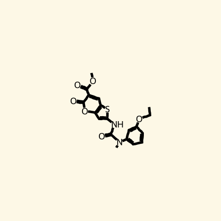 CCOc1cccc(N(C)C(=O)Nc2cc3oc(=O)c(C(=O)OC)cc3s2)c1